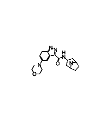 CN1C2CCC1CC(NC(=O)C1=NN=C3CC=C(N4CCOCC4)C=C31)C2